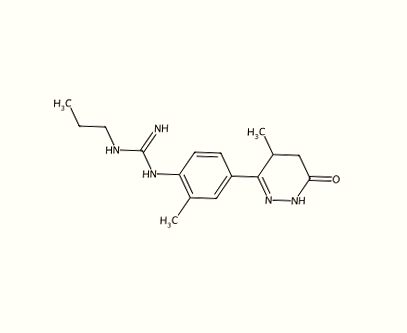 CCCNC(=N)Nc1ccc(C2=NNC(=O)CC2C)cc1C